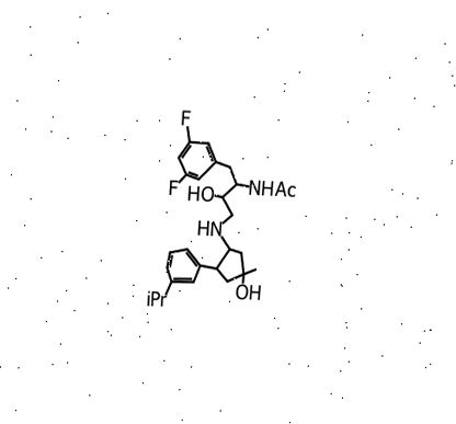 CC(=O)NC(Cc1cc(F)cc(F)c1)C(O)CNC1CC(C)(O)CC1c1cccc(C(C)C)c1